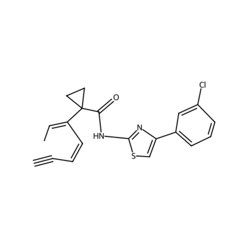 C#C/C=C\C(=C/C)C1(C(=O)Nc2nc(-c3cccc(Cl)c3)cs2)CC1